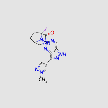 Cn1cc(-c2n[nH]c3cnc(N4C5CCC4(I)C(=O)NC5)nc23)cn1